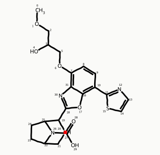 COCC(O)COc1ccc(-c2nccs2)c2oc(C3NCC4CCC3N4C(=O)O)nc12